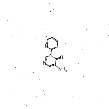 Nc1cncn(-c2ccccn2)c1=O